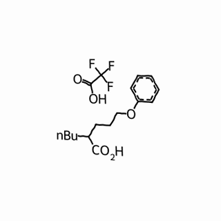 CCCCC(CCCOc1ccccc1)C(=O)O.O=C(O)C(F)(F)F